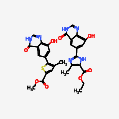 CCOC(=O)c1[nH]c(-c2cc(O)c3nc[nH]c(=O)c3c2)nc1C.COC(=O)c1cc(C)c(-c2cc(O)c3nc[nH]c(=O)c3c2)s1